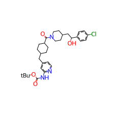 CC(C)(C)OC(=O)Nc1cc(CC2CCC(C(=O)N3CCC(CC(O)c4ccc(Cl)cc4)CC3)CC2)ccn1